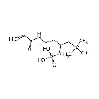 C=CC(=O)NCCC(C[N+](C)(C)C)OP(=O)(O)O